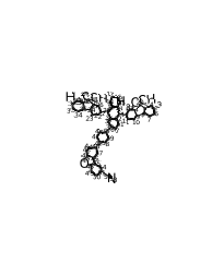 CC1(C)c2ccccc2-c2ccc(-c3c4ccccc4c(-c4ccc5c(c4)C(C)(C)c4ccccc4-5)c4cc(-c5ccc(-c6ccc7oc8ccc(C#N)cc8c7c6)cc5)ccc34)cc21